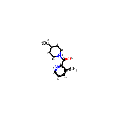 CC(C)(C)C1CCN(C(=O)c2ncccc2C(F)(F)F)CC1